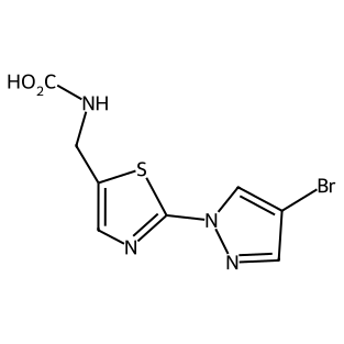 O=C(O)NCc1cnc(-n2cc(Br)cn2)s1